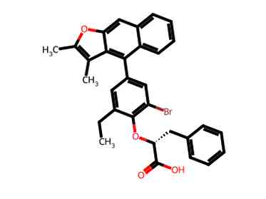 CCc1cc(-c2c3ccccc3cc3oc(C)c(C)c23)cc(Br)c1O[C@H](Cc1ccccc1)C(=O)O